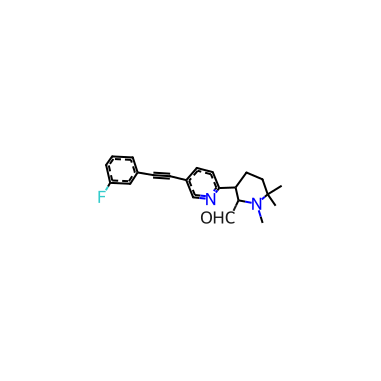 CN1C(C=O)C(c2ccc(C#Cc3cccc(F)c3)cn2)CCC1(C)C